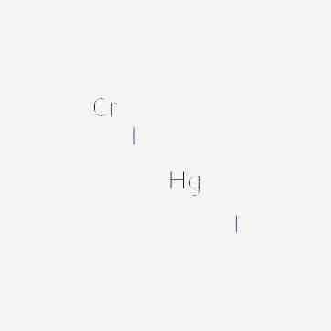 [Cr].[I][Hg][I]